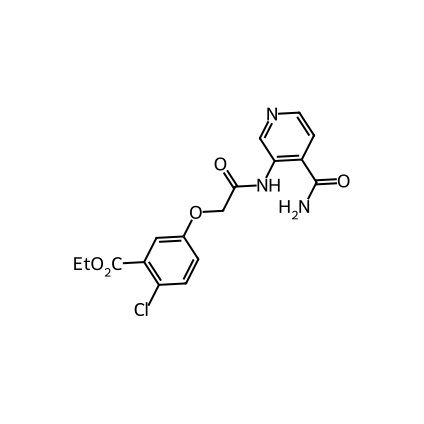 CCOC(=O)c1cc(OCC(=O)Nc2cnccc2C(N)=O)ccc1Cl